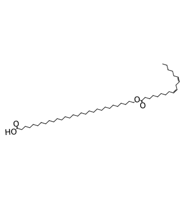 CCCCC/C=C\C/C=C\CCCCCCCC(=O)OCCCCCCCCCCCCCCCCCCCCCCCCCCCCCC(=O)O